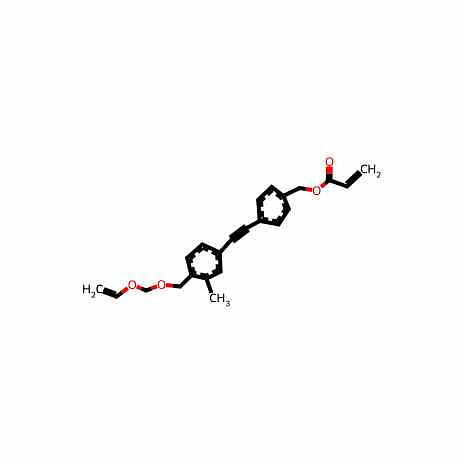 C=COCOCc1ccc(C#Cc2ccc(COC(=O)C=C)cc2)cc1C